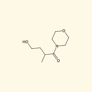 CC(CCO)C(=O)N1CCOCC1